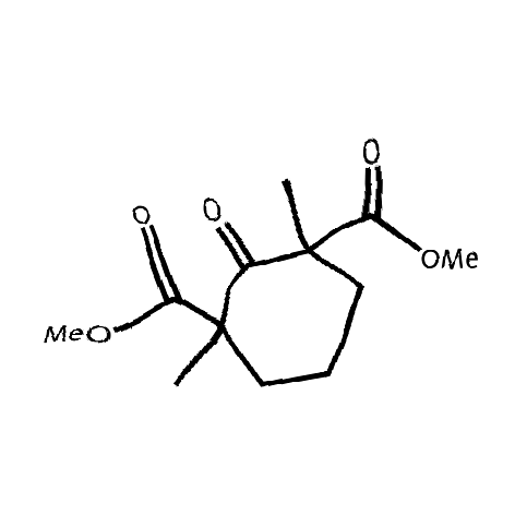 COC(=O)C1(C)CCCC(C)(C(=O)OC)C1=O